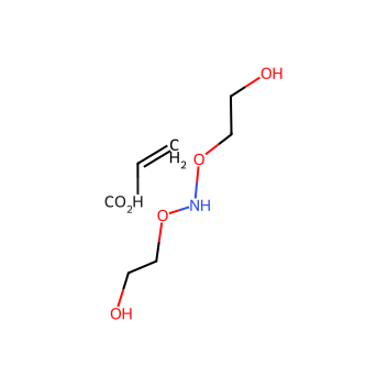 C=CC(=O)O.OCCONOCCO